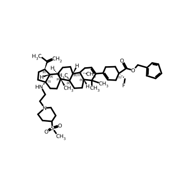 C=C(C)[C@@H]1CC[C@]2(NCCN3CCC(S(C)(=O)=O)CC3)CC[C@]3(C)[C@H](CC[C@@H]4[C@@]5(C)CC=C(C6=CC[C@](CF)(C(=O)OCc7ccccc7)CC6)C(C)(C)[C@@H]5CC[C@]43C)[C@@H]12